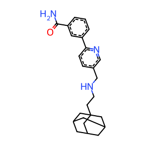 NC(=O)c1cccc(-c2ccc(CNCCC34CC5CC(CC(C5)C3)C4)cn2)c1